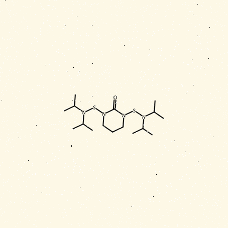 CC(C)N(SN1CCCN(SN(C(C)C)C(C)C)C1=O)C(C)C